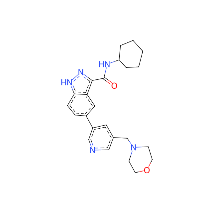 O=C(NC1CCCCC1)c1n[nH]c2ccc(-c3cncc(CN4CCOCC4)c3)cc12